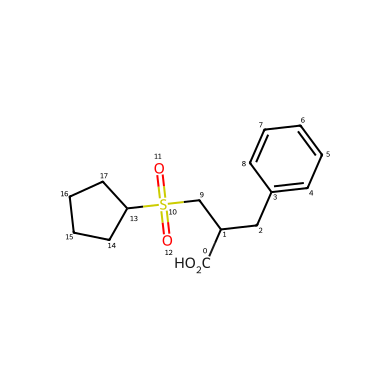 O=C(O)C(Cc1ccccc1)CS(=O)(=O)C1CCCC1